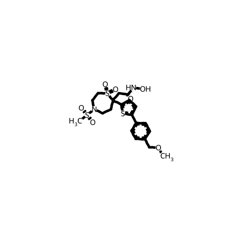 COCc1ccc(-c2ccc(C3(CC(=O)NO)CCN(S(C)(=O)=O)CCS3(=O)=O)s2)cc1